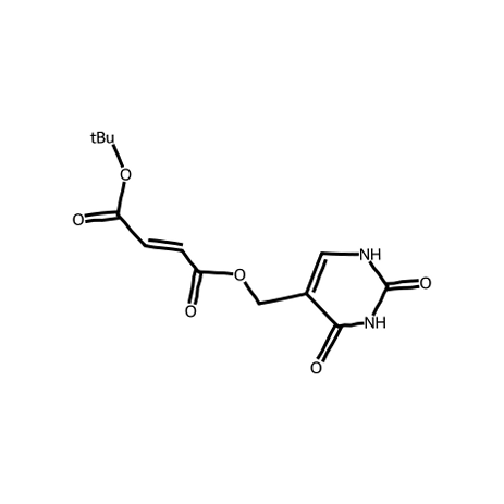 CC(C)(C)OC(=O)C=CC(=O)OCc1c[nH]c(=O)[nH]c1=O